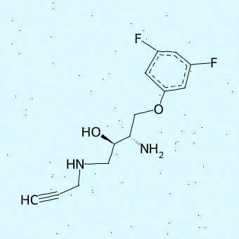 C#CCNC[C@@H](O)[C@@H](N)COc1cc(F)cc(F)c1